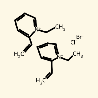 C=Cc1cccc[n+]1CC.C=Cc1cccc[n+]1CC.[Br-].[Cl-]